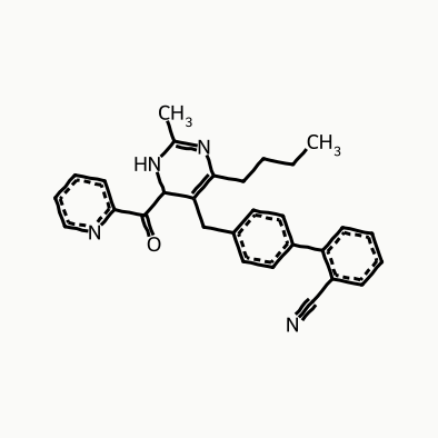 CCCCC1=C(Cc2ccc(-c3ccccc3C#N)cc2)C(C(=O)c2ccccn2)NC(C)=N1